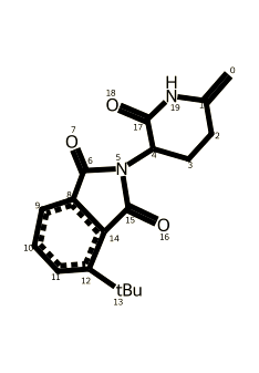 C=C1CCC(N2C(=O)c3cccc(C(C)(C)C)c3C2=O)C(=O)N1